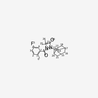 Cc1ccc(F)cc1C(=O)N1N(C2C3CC4CC(C3)CC2C4)C(=O)C1(C)C